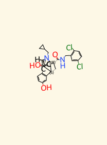 O=C(NCc1cc(Cl)ccc1Cl)[C@H]1C[C@@]2(O)[C@@H]3N(CC4CC4)C4C5C43Cc3ccc(O)cc3[C@]52C1